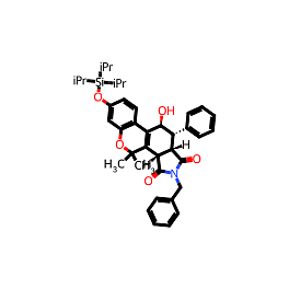 CC(C)[Si](Oc1ccc2c(c1)OC(C)(C)C1=C2[C@@H](O)[C@H](c2ccccc2)[C@@H]2C(=O)N(Cc3ccccc3)C(=O)[C@H]12)(C(C)C)C(C)C